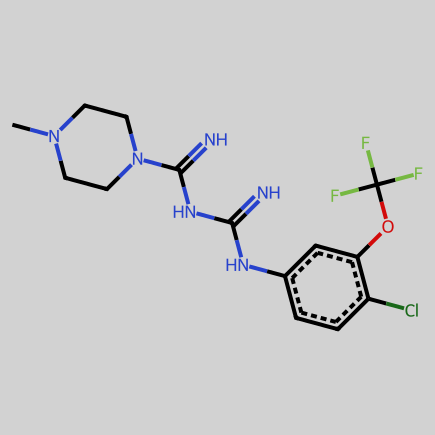 CN1CCN(C(=N)NC(=N)Nc2ccc(Cl)c(OC(F)(F)F)c2)CC1